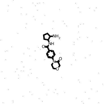 NC1CCCC1NC(=O)c1ccc(N2CCOCC2=O)cc1